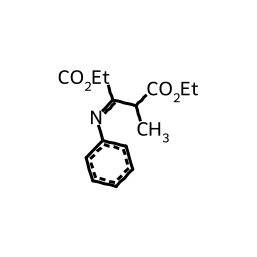 CCOC(=O)C(=Nc1ccccc1)C(C)C(=O)OCC